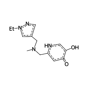 CCn1cc(CN(C)Cc2cc(=O)c(O)c[nH]2)cn1